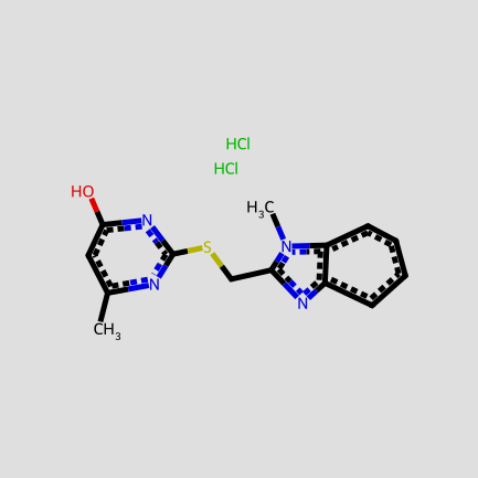 Cc1cc(O)nc(SCc2nc3ccccc3n2C)n1.Cl.Cl